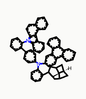 c1ccc(-n2c3ccccc3c3c4ccccc4ccc32)c(-c2ccc(N(c3ccc4c5ccccc5c5ccccc5c4c3)c3ccccc3C34CC5C[C@H]6CC(C3)[C@]56C4)cc2)c1